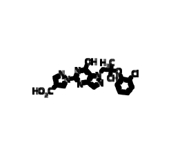 CC(C)(Cn1ncc2nc(-n3cc(C(=O)O)cn3)nc(O)c21)Oc1ccccc1Cl